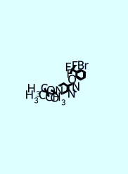 CC(C)(C)OC(=O)N1CCc2c(ncnc2Oc2cccc(Br)c2C(F)(F)F)C1